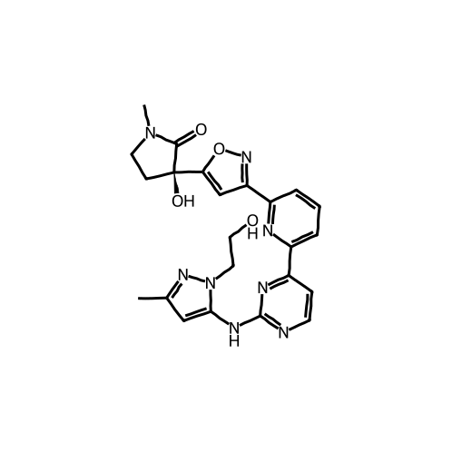 Cc1cc(Nc2nccc(-c3cccc(-c4cc([C@]5(O)CCN(C)C5=O)on4)n3)n2)n(CCO)n1